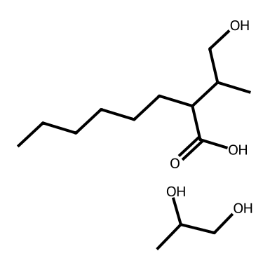 CC(O)CO.CCCCCCC(C(=O)O)C(C)CO